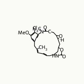 COc1cc2cc(c1Cl)N(C)C(=O)CCC1O[C@H]1CC1CC(C/C=C/C=C(\C)C2)NC(=O)O1